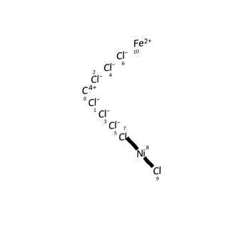 [C+4].[Cl-].[Cl-].[Cl-].[Cl-].[Cl-].[Cl-].[Cl][Ni][Cl].[Fe+2]